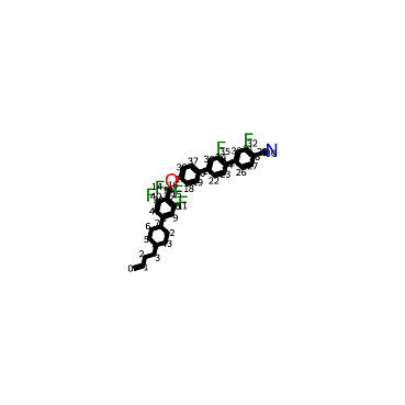 C=CCCC1CCC(c2cc(F)c(C(F)(F)Oc3ccc(-c4ccc(-c5ccc(C#N)c(F)c5)c(F)c4)cc3)c(F)c2)CC1